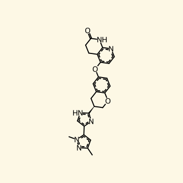 Cc1cc(-c2c[nH]c([C@@H]3COc4ccc(Oc5ccnc6c5CCC(=O)N6)cc4C3)n2)n(C)n1